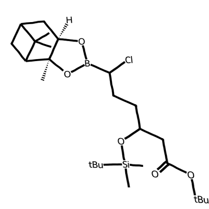 CC(C)(C)OC(=O)CC(CCC(Cl)B1O[C@@H]2CC3CC(C3(C)C)[C@]2(C)O1)O[Si](C)(C)C(C)(C)C